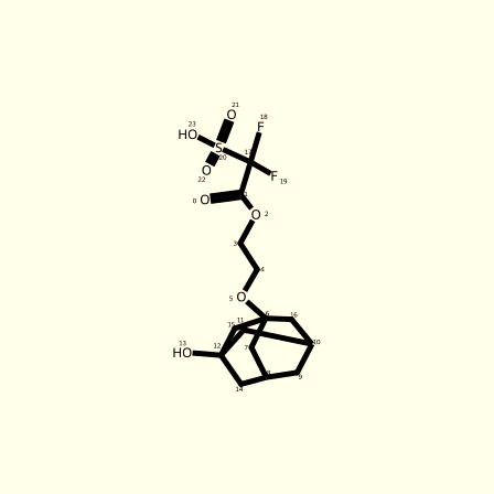 O=C(OCCOC12CC3CC(CC(O)(C3)C1)C2)C(F)(F)S(=O)(=O)O